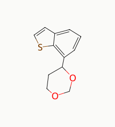 c1cc(C2CCOCO2)c2sccc2c1